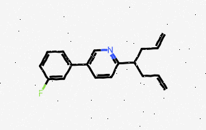 C=CC[C](CC=C)c1ccc(-c2cccc(F)c2)cn1